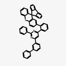 c1ccc(-c2cccc(-c3cc(-c4ccccc4-c4ccc5c(c4)C4(c6ccccc6S5)c5ccccc5-c5ccccc54)nc(-c4ccccc4)n3)c2)cc1